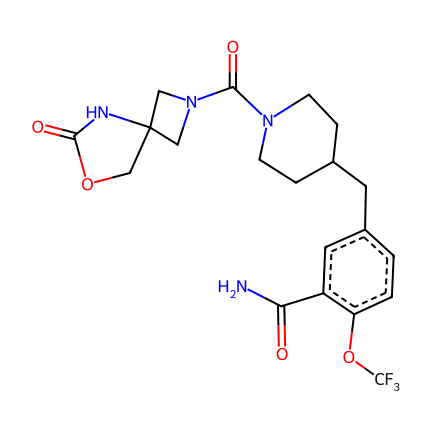 NC(=O)c1cc(CC2CCN(C(=O)N3CC4(COC(=O)N4)C3)CC2)ccc1OC(F)(F)F